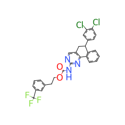 O=C(Nc1ncc2c(n1)-c1ccccc1C(c1ccc(Cl)c(Cl)c1)C2)OCCc1cccc(C(F)(F)F)c1